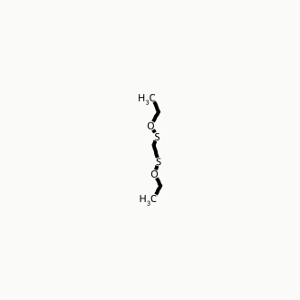 CCOSCSOCC